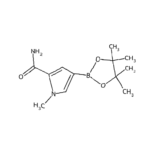 Cn1cc(B2OC(C)(C)C(C)(C)O2)cc1C(N)=O